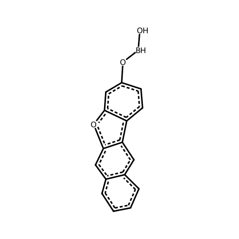 OBOc1ccc2c(c1)oc1cc3ccccc3cc12